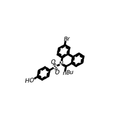 CCCCC1c2ccccc2-c2cc(Br)ccc2N1S(=O)(=O)c1ccc(O)cc1